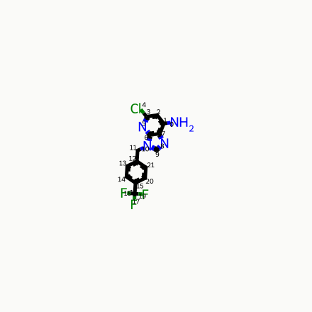 Nc1cc(Cl)nc2c1ncn2Cc1ccc(C(F)(F)F)cc1